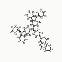 CC1(C)c2ccccc2-c2ccc(-c3ccc(N(c4ccc5c(c4)c4ccccc4n5-c4ccccc4)c4ccc5c(c4)c4ccccc4n5-c4ccccc4)cc3)cc21